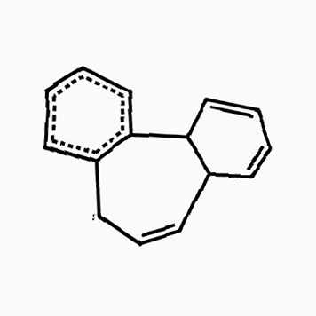 [C]1C=CC2C=CC=CC2c2ccccc21